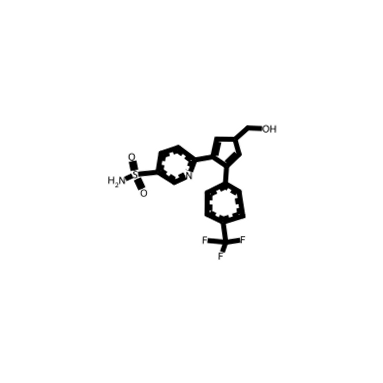 NS(=O)(=O)c1ccc(C2=CC(CO)C=C2c2ccc(C(F)(F)F)cc2)nc1